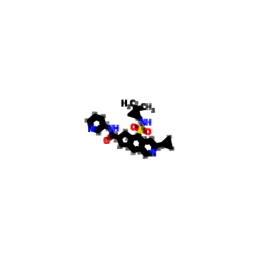 CC1(C)CC1NS(=O)(=O)c1c2c(cc3cnc(C4CC4)cc13)CC(C(=O)Nc1cccnc1)C2